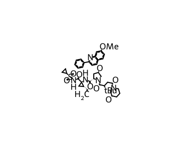 C=C[C@@H]1C[C@]1(NC(=O)[C@@H]1C[C@@H](Oc2cc(-c3ccccc3)nc3cc(OC)ccc23)CN1C(=O)C(CC(=O)N1CCCC(=O)C1)C(C)(C)C)C(=O)NS(=O)(=O)C1CC1